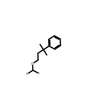 CC(C)(CCOC(F)F)c1cc[c]cc1